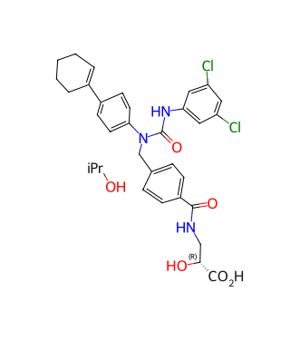 CC(C)O.O=C(NC[C@@H](O)C(=O)O)c1ccc(CN(C(=O)Nc2cc(Cl)cc(Cl)c2)c2ccc(C3=CCCCC3)cc2)cc1